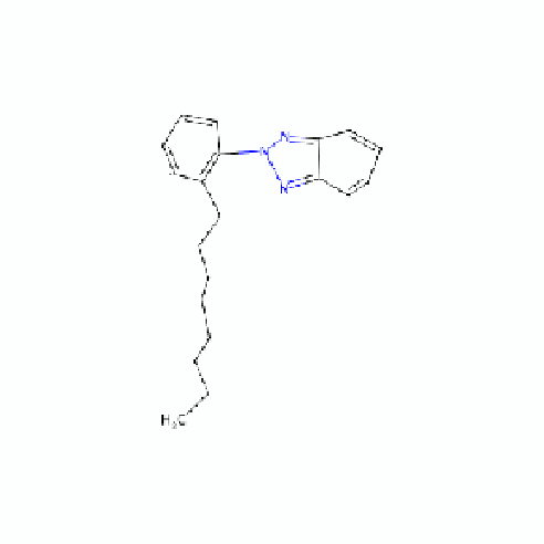 CCCCCCCCc1[c]cccc1-n1nc2ccccc2n1